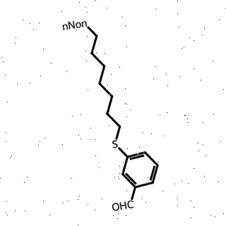 CCCCCCCCCCCCCCCCSc1cccc(C=O)c1